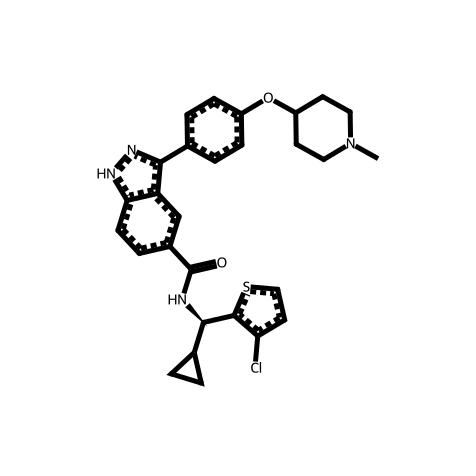 CN1CCC(Oc2ccc(-c3n[nH]c4ccc(C(=O)N[C@@H](c5sccc5Cl)C5CC5)cc34)cc2)CC1